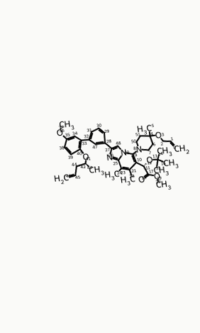 C=CCOC1(C)CCN(c2c([C@H](OC(C)(C)C)C(=O)OC)c(C)c(C)c3nc(-c4cccc(-c5cc(OC)ccc5O[C@@H](C)CC=C)c4)cn23)CC1